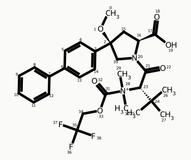 CO[C@@]1(c2ccc(-c3ccccc3)cc2)C[C@@H](C(=O)O)N(C(=O)[C@H](C(C)(C)C)[N+](C)(C)C(=O)OCC(F)(F)F)C1